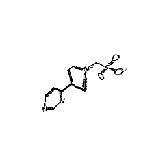 O=S(=O)([O-])C[n+]1ccc(-c2ccncn2)cc1